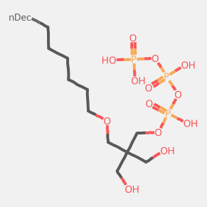 CCCCCCCCCCCCCCCCOCC(CO)(CO)COP(=O)(O)OP(=O)(O)OP(=O)(O)O